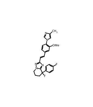 COc1cc(C=Cc2nc3n(n2)CCCC3(F)c2ccc(F)cc2)ccc1-n1cnc(C)c1